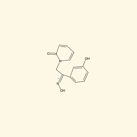 O=c1ccccn1C/C(=N/O)c1cccc(O)c1